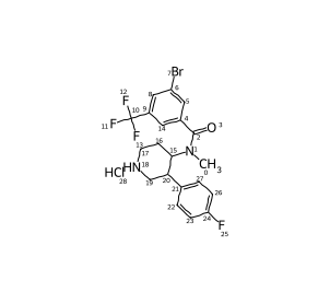 CN(C(=O)c1cc(Br)cc(C(F)(F)F)c1)C1CCNCC1c1ccc(F)cc1.Cl